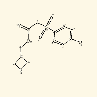 CCc1ccc(S(=O)(=O)CC(=O)OCC2COC2)cc1